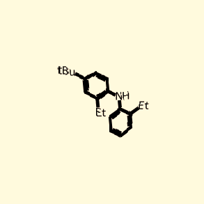 CCc1ccccc1Nc1ccc(C(C)(C)C)cc1CC